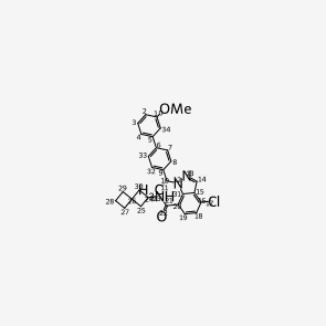 COc1cccc(-c2ccc([C@@H](C)n3ncc4c(Cl)ccc(C(=O)NC5CC6(CCC6)C5)c43)cc2)c1